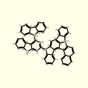 c1ccc2c(c1)ccc1c2c2c3c4ccccc4n(-c4nc(-n5c6ccccc6c6ccccc65)c5c(n4)oc4ccccc45)c3cc3c4ccccc4n1c32